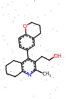 Cc1nc2c(c(-c3ccc4c(c3)CCCO4)c1CCO)CCCC2